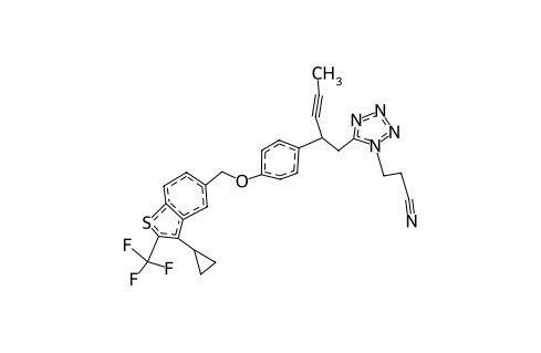 CC#CC(Cc1nnnn1CCC#N)c1ccc(OCc2ccc3sc(C(F)(F)F)c(C4CC4)c3c2)cc1